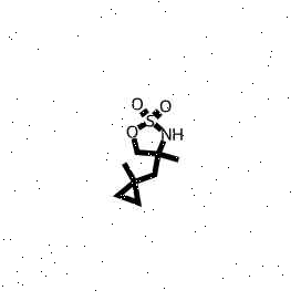 CC1(CC2(C)COS(=O)(=O)N2)CC1